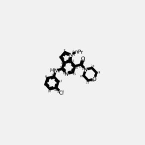 CCCn1ccc2c(Nc3cccc(Cl)c3)ncc(C(=O)N3CCOCC3)c21